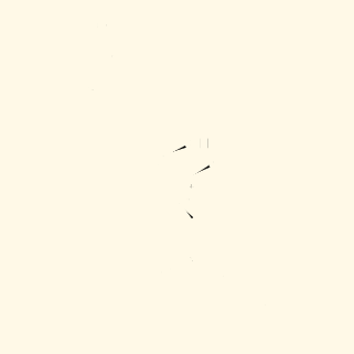 C[C@H]1[C@@H](OC(=O)c2ccco2)CC=C2C=C3OC(=O)C=C3C[C@@]21C